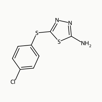 Nc1nnc(Sc2ccc(Cl)cc2)s1